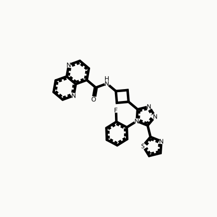 O=C(NC1CC(c2nnc(-c3nccs3)n2-c2ccccc2F)C1)c1ccnc2cccnc12